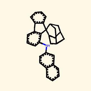 c1ccc2c(c1)-c1cccc(Nc3ccc4ccccc4c3)c1C21C2CC3CC(C2)CC1C3